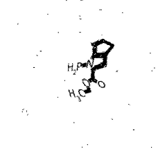 CCOC(=O)c1cc2c(n1P)C=CC2